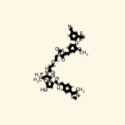 COc1cc(/C=C2\SC(=O)N(CCOCCC(=O)N[C@H](C(=O)N3CC(O)C[C@H]3C(=O)NCc3ccc(-c4scnc4C)cc3)C(C)(C)C)C2=O)ccc1Oc1ccc(C#N)cc1C(F)(F)F